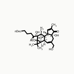 CCCCCCCCCCCCCC(=O)[C@@]1(O)[C@@H](C)[C@@]2(O)[C@@H](C=C(CO)C[C@]3(O)C(=O)C(C)=C[C@@H]23)[C@H]2C(C)(C)[C@@]21OC(C)=O